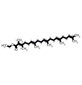 CCOC(=O)/C(C)=C(\C)CC/C=C(\C)CC/C=C(\C)CC/C=C(\C)CCC=C(C)C